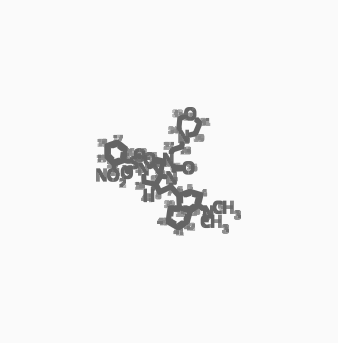 CN(C)c1ccc(C2C[C@@H]3CN(S(=O)(=O)c4ccccc4[N+](=O)[O-])C[C@]34C(=O)N(CCN3CCOCC3)C(=O)N24)c2ccccc12